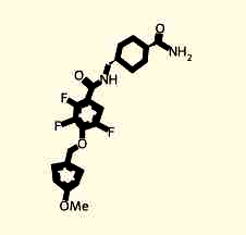 COc1ccc(COc2c(F)cc(C(=O)NC[C@H]3CC[C@H](C(N)=O)CC3)c(F)c2F)cc1